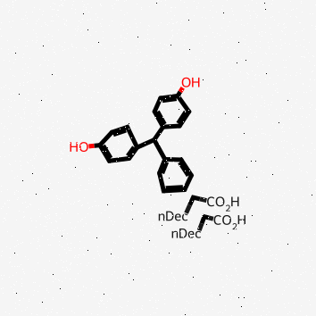 CCCCCCCCCCCC(=O)O.CCCCCCCCCCCC(=O)O.Oc1ccc(C(c2ccccc2)c2ccc(O)cc2)cc1